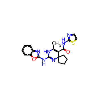 CC1=C(C(=O)Nc2nccs2)C2(CCCC2)N=C(Nc2nc3ccccc3o2)N1